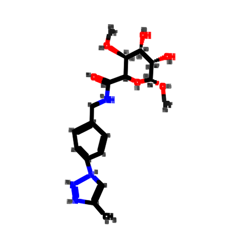 Cc1cn(-c2ccc(CNC(=O)C3O[C@@H](OC(C)C)[C@@H](O)[C@@H](O)[C@@H]3OC(C)C)cc2)nn1